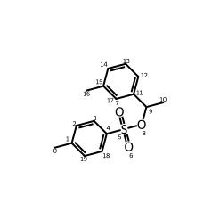 Cc1ccc(S(=O)(=O)OC(C)c2cccc(C)c2)cc1